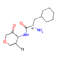 CCC1COCC(=O)C1NC(=O)[C@@H](N)CC1CCCCC1